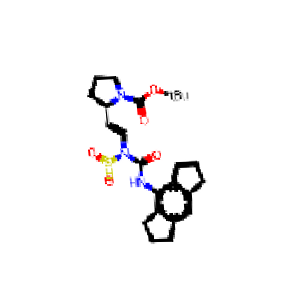 CC(C)(C)OC(=O)N1CCC[C@@H]1/C=C/N(C(=O)Nc1c2c(cc3c1CCC3)CCC2)[SH](=O)=O